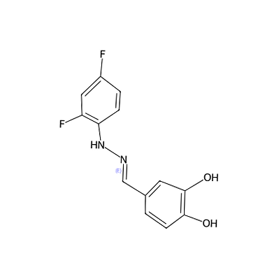 Oc1ccc(/C=N/Nc2ccc(F)cc2F)cc1O